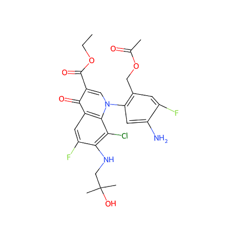 CCOC(=O)c1cn(-c2cc(N)c(F)cc2COC(C)=O)c2c(Cl)c(NCC(C)(C)O)c(F)cc2c1=O